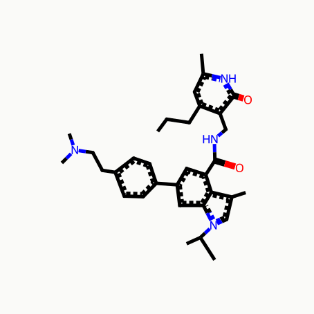 CCCc1cc(C)[nH]c(=O)c1CNC(=O)c1cc(-c2ccc(CCN(C)C)cc2)cc2c1c(C)cn2C(C)C